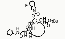 CC(C)(C)OC(=O)N[C@H]1CCCCC/C=C\[C@@H]2C[C@@]2(C(=O)NCC(=O)NCc2ccccc2)NC(=O)[C@@H]2C[C@@H](OC(=O)N3Cc4cccc(F)c4C3)CN2C1=O